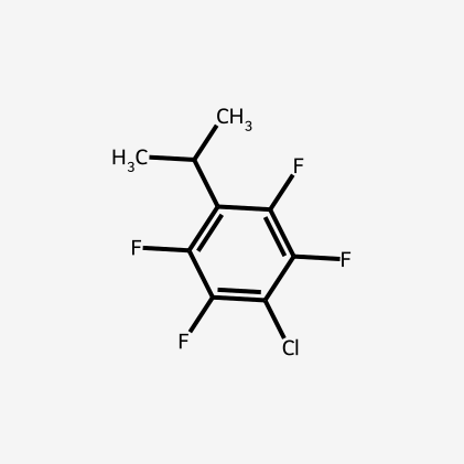 CC(C)c1c(F)c(F)c(Cl)c(F)c1F